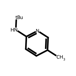 Cc1ccc(NC(C)(C)C)nc1